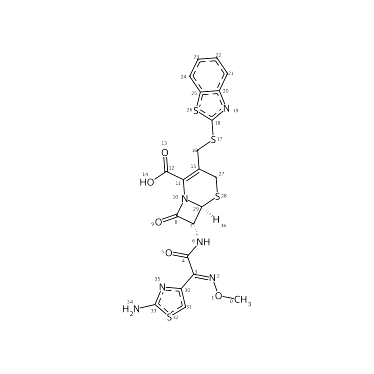 CON=C(C(=O)N[C@@H]1C(=O)N2C(C(=O)O)=C(CSc3nc4ccccc4s3)CS[C@@H]12)c1csc(N)n1